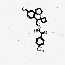 O=C(NSCC(c1ccc(Cl)cc1)C1(N2CCCC2)CCC1)c1ccc(C(F)(F)F)cc1